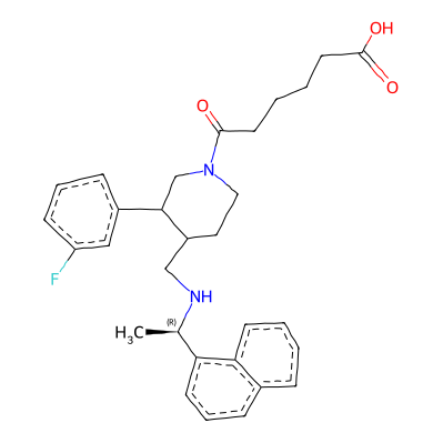 C[C@@H](NCC1CCN(C(=O)CCCCC(=O)O)CC1c1cccc(F)c1)c1cccc2ccccc12